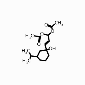 CC(=O)OC(C=CC1(O)CCCC(C(C)C)C1)OC(C)=O